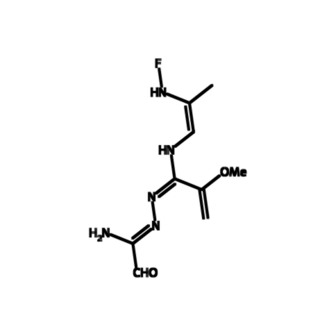 C=C(OC)/C(=N\N=C(/N)C=O)N/C=C(/C)NF